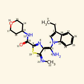 CCc1cn(/C(N)=C2\N=C(C(=O)NC3CCOCC3)S\C2=N\C)c2ccccc12